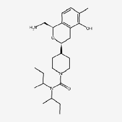 CCC(C)N(C(=O)N1CCC([C@@H]2Cc3c(ccc(C)c3O)[C@H](CN)O2)CC1)C(C)CC